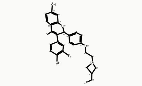 CC1=C(c2ccc(O)c(F)c2)C(c2ccc(OCCN3CC(CF)C3)cc2)Oc2cc(O)ccc21